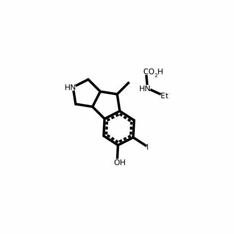 CC1c2cc(I)c(O)cc2C2CNCC12.CCNC(=O)O